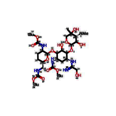 CN[C@@H]1C(O)[C@@H](OC2C(O)C(O[C@H]3O[C@H](CNC(=O)OC(C)(C)C)CCC3NC(=O)OC(C)(C)C)[C@@H](NC(=O)OC(C)(C)C)C[C@H]2NC(=N)CO)OCC1(C)O